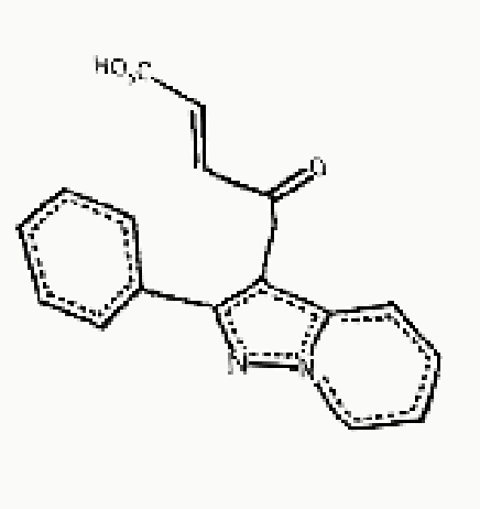 O=C(O)/C=C/C(=O)c1c(-c2ccccc2)nn2ccccc12